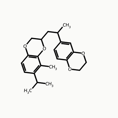 Cc1c(C(C)C)ccc2c1OC(CC(C)c1ccc3c(c1)OCCO3)CO2